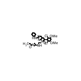 C=CC(=O)N1CC(NCCn2c(=O)c(-c3c(Cl)c(OC)cc(OC)c3Cl)cc3cnc(Nc4ccccc4)nc32)C1